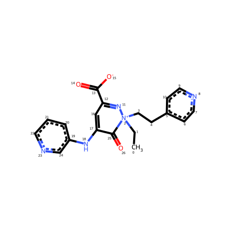 CC[N+]1(CCc2ccncc2)N=C(C(=O)[O-])C=C(Nc2cccnc2)C1=O